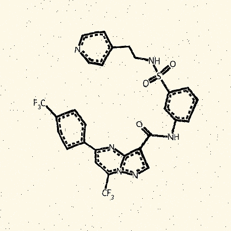 O=C(Nc1cccc(S(=O)(=O)NCCc2ccncc2)c1)c1cnn2c(C(F)(F)F)cc(-c3ccc(C(F)(F)F)cc3)nc12